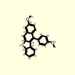 COc1ccc(-c2c3ccc(OC)cc3cc3sc4ccccc4c23)cc1